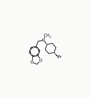 CC(C)[C@H]1CC[C@@H](N(C)Cc2ccc3c(c2)OCO3)CC1